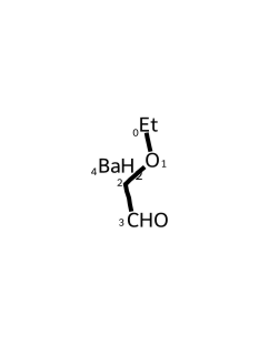 CCOCC=O.[BaH2]